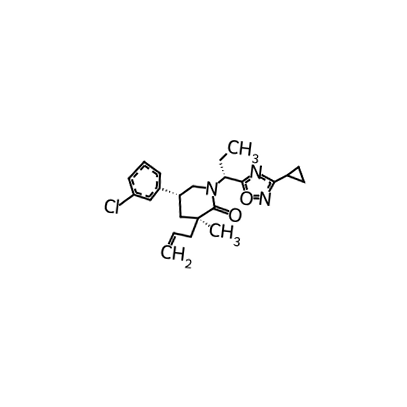 C=CC[C@@]1(C)C[C@H](c2cccc(Cl)c2)CN([C@H](CC)c2nc(C3CC3)no2)C1=O